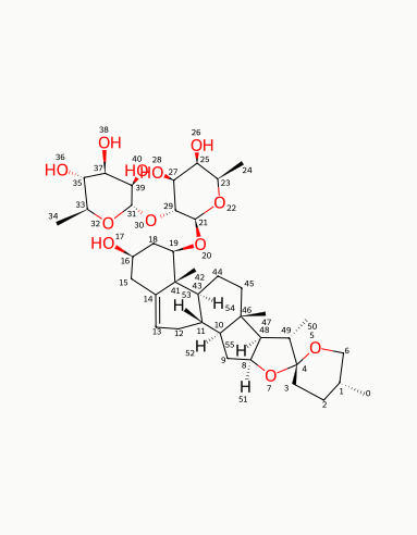 C[C@@H]1CC[C@@]2(OC1)O[C@H]1C[C@H]3[C@@H]4CC=C5C[C@@H](O)C[C@@H](O[C@@H]6O[C@H](C)[C@H](O)[C@H](O)[C@H]6O[C@@H]6O[C@@H](C)[C@H](O)[C@@H](O)[C@H]6O)[C@]5(C)[C@H]4CC[C@]3(C)[C@H]1[C@@H]2C